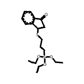 CCO[Si](CCCSC1CC(=O)c2ccccc21)(OCC)OCC